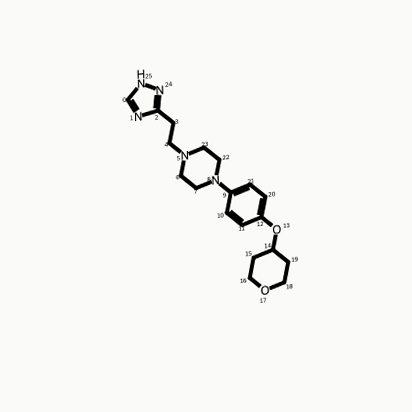 c1nc(CCN2CCN(c3ccc(OC4CCOCC4)cc3)CC2)n[nH]1